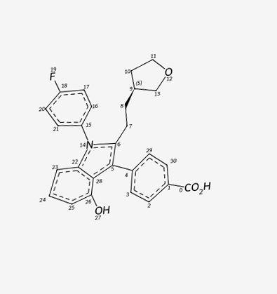 O=C(O)c1ccc(-c2c(CC[C@H]3CCOC3)n(-c3ccc(F)cc3)c3cccc(O)c23)cc1